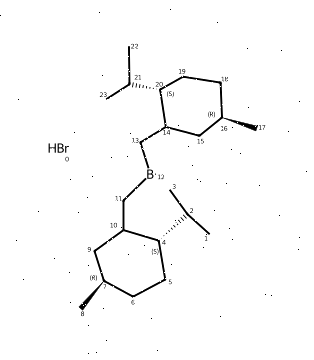 Br.CC(C)[C@@H]1CC[C@@H](C)CC1C[B]CC1C[C@H](C)CC[C@H]1C(C)C